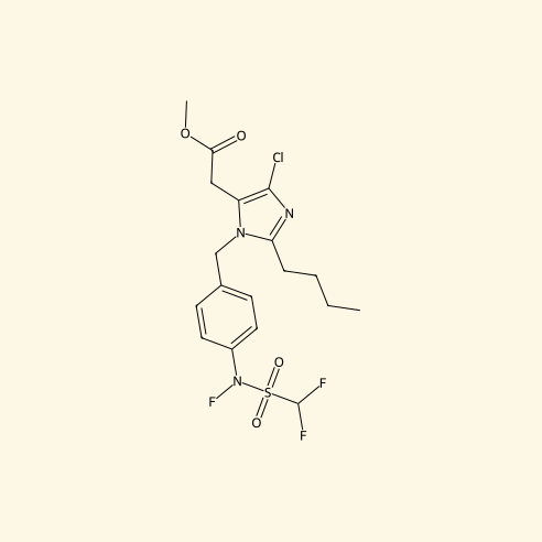 CCCCc1nc(Cl)c(CC(=O)OC)n1Cc1ccc(N(F)S(=O)(=O)C(F)F)cc1